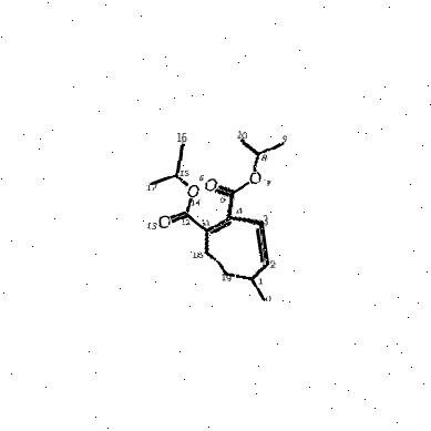 CC1C=CC(C(=O)OC(C)C)=C(C(=O)OC(C)C)CC1